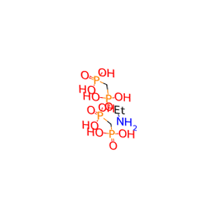 CCN.O=P(O)(O)CP(=O)(O)O.O=P(O)(O)CP(=O)(O)O